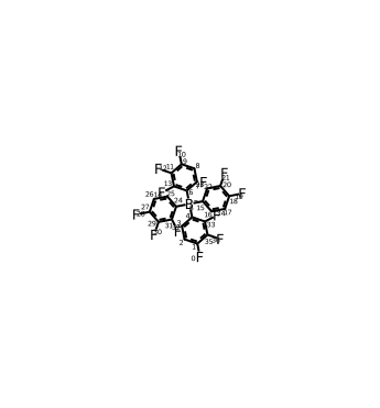 Fc1ccc([B-](c2ccc(F)c(F)c2F)(c2ccc(F)c(F)c2F)c2ccc(F)c(F)c2F)c(F)c1F